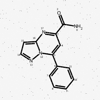 NC(=O)c1cc(-c2ccccc2)n2nccc2n1